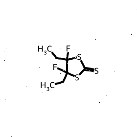 CCC1(F)SC(=S)SC1(F)CC